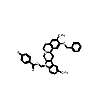 COc1ccc2c(c1)c1c(n2COC(=O)c2ccc(F)cc2)CN2CCc3cc(OC)c(OCc4ccccc4)cc3C2C1